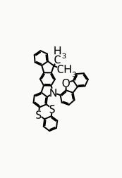 CC1(C)c2ccccc2-c2cc3c4ccc5c(c4n(-c4cccc6c4oc4ccccc46)c3cc21)Sc1ccccc1S5